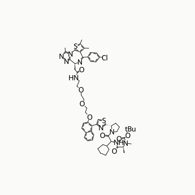 Cc1sc2c(c1C)C(c1ccc(Cl)cc1)=N[C@@H](CC(=O)NCCOCCOCCOc1ccc3ccccc3c1-c1csc([C@@H]3CCCN3C(=O)[C@@H](NC(=O)[C@H](C)N(C)C(=O)OC(C)(C)C)C3CCCCC3)n1)c1nnc(C)n1-2